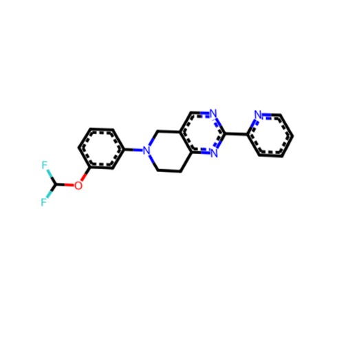 FC(F)Oc1cccc(N2CCc3nc(-c4ccccn4)ncc3C2)c1